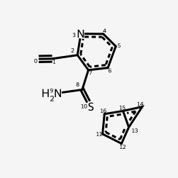 C#Cc1ncccc1C(N)=S.c1cc2cc-2c1